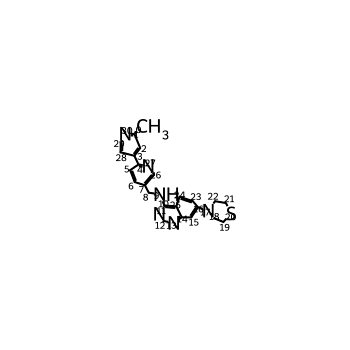 Cc1cc(-c2ccc(CNc3ncnc4cc(N5CCSCC5)ccc34)cn2)ccn1